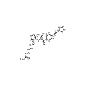 CC(C)N(Cc1ccccc1OCCCCCC(=O)O)C(=O)c1ccc(C#CC2CCCC2)cc1